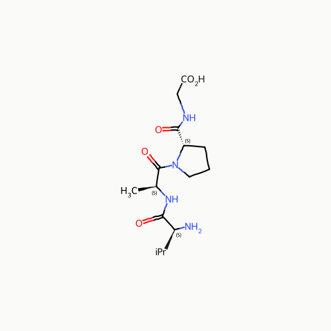 CC(C)[C@H](N)C(=O)N[C@@H](C)C(=O)N1CCC[C@H]1C(=O)NCC(=O)O